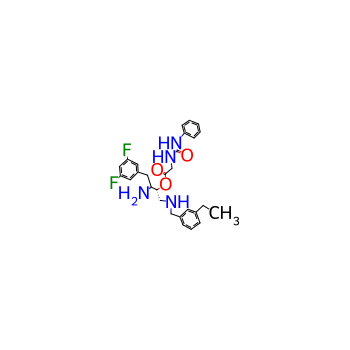 CCc1cccc(CNC[C@@H](OC(=O)CNC(=O)Nc2ccccc2)[C@@H](N)Cc2cc(F)cc(F)c2)c1